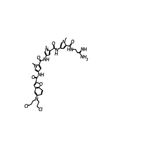 Cn1cc(NC(=O)c2cc(NC(=O)c3cc(NC(=O)c4cc5cc(N(CCCl)CCCl)ccc5o4)cn3C)cn2C)cc1C(=O)NCCC(=N)N